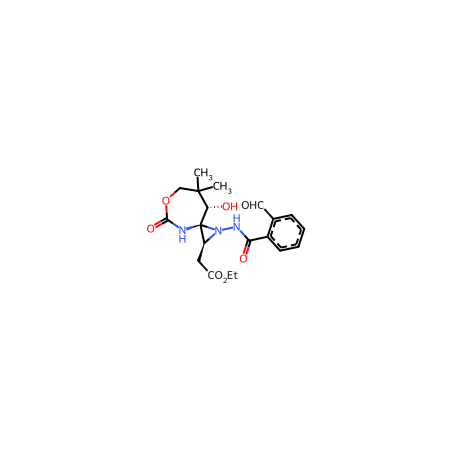 CCOC(=O)C[C@@H]1N(NC(=O)c2ccccc2C=O)[C@]12NC(=O)OCC(C)(C)[C@@H]2O